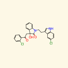 O=C(CC1(O)C(=O)N(CCc2c[nH]c3ccc(Cl)cc23)c2ccccc21)c1ccccc1Cl